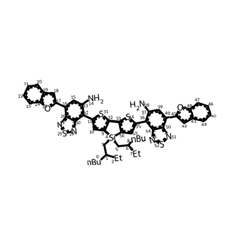 CCCCC(CC)C[Si]1(CC(CC)CCCC)c2cc(-c3c(N)cc(-c4cc5ccccc5o4)c4nsnc34)sc2-c2sc(-c3c(N)cc(-c4cc5ccccc5o4)c4nsnc34)cc21